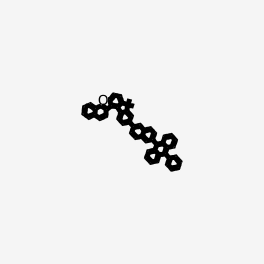 CC1(C)c2cc(-c3ccc4cc(-c5c6ccccc6c(-c6ccccc6)c6ccccc56)ccc4c3)ccc2-c2c1ccc1oc3c4ccccc4ccc3c21